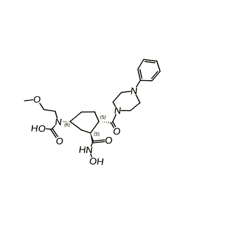 COCCN(C(=O)O)[C@@H]1CC[C@H](C(=O)N2CCN(c3ccccc3)CC2)[C@@H](C(=O)NO)C1